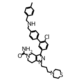 Cc1ccc(CNCc2ccc(-c3cc(-c4nn(CCCN5CCSCC5)c5c4CN(C(N)=O)CC5)ccc3Cl)cc2)cc1